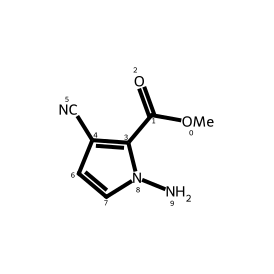 COC(=O)c1c(C#N)ccn1N